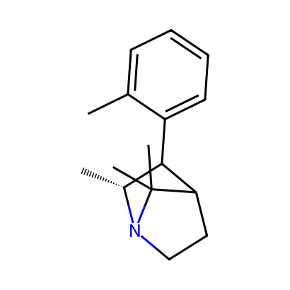 Cc1ccccc1C1C2CCN([C@@H]1C)C2(C)C